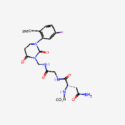 COc1ccc(I)cc1N1CCC(=O)N(CNC(=O)CNC(=O)[C@H](CC(N)=O)NC(=O)O)C1=O